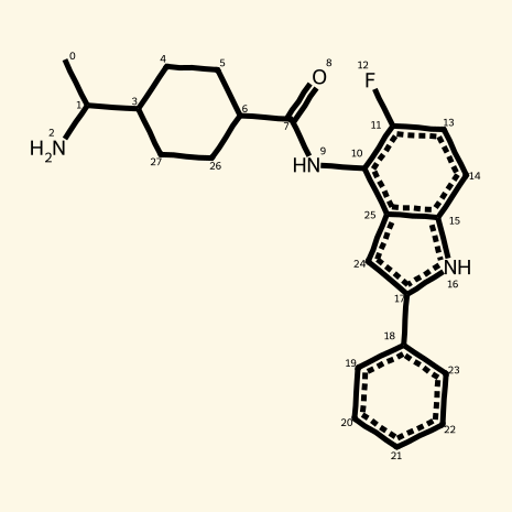 CC(N)C1CCC(C(=O)Nc2c(F)ccc3[nH]c(-c4ccccc4)cc23)CC1